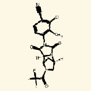 Cc1c(N2C(=O)[C@@H]3C4C[C@H](CN4C(=O)C(F)(F)F)N3C2=O)ccc(C#N)c1Cl